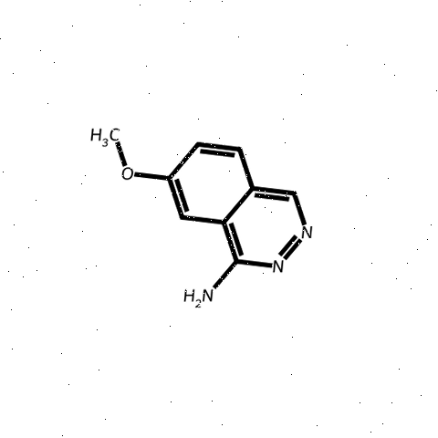 COc1ccc2cnnc(N)c2c1